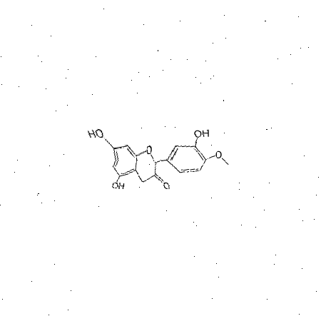 COc1ccc(C2Oc3cc(O)cc(O)c3CC2=O)cc1O